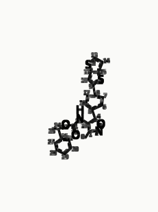 Cc1noc(-c2ccc(-c3cc4sccc4s3)cc2)c1NC(=O)OC(C)c1ccccc1